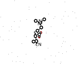 N#Cc1ccc(-c2ccc3c(c2)C2(c4cc(-c5cccc(-c6cc(-c7ccccc7)nc(-c7ccccc7)n6)c5)ccc4S3)c3ccccc3-c3ccccc32)c2ccccc12